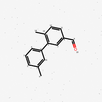 Cc1cccc(-c2cc(C=O)ccc2C)c1